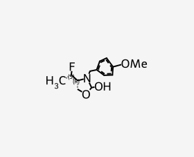 COc1ccc(CN2C(O)OC[C@@H]2[C@H](C)F)cc1